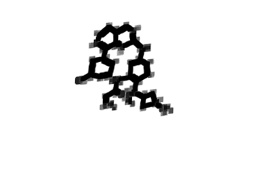 C=CC(=O)Nc1cc(Nc2ncc3ccnc(-c4cccc(Cl)c4)c3n2)ccc1N(C)C1CN(C)C1